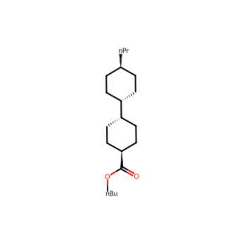 CCCCOC(=O)[C@H]1CC[C@H]([C@H]2CC[C@H](CCC)CC2)CC1